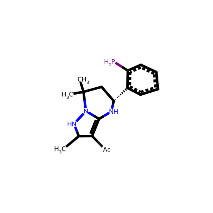 CC(=O)C1=C2N[C@@H](c3ccccc3P)CC(C)(C)N2NC1C